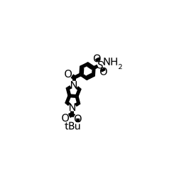 CC(C)(C)OC(=O)N1CC2CN(C(=O)c3ccc(S(N)(=O)=O)cc3)CC2C1